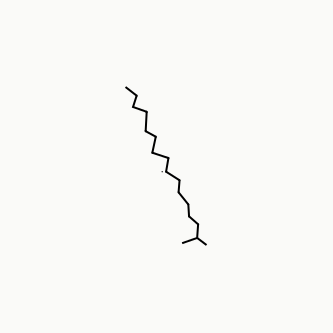 CCCCCCCC[CH]CCCCCC(C)C